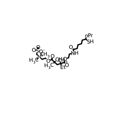 CCCC(S)CCCCC(=O)NCCOC(=O)C(C)(CC)CC(C)(C)C(=O)OCC[N+](C)(C)CS(=O)(=O)[O-]